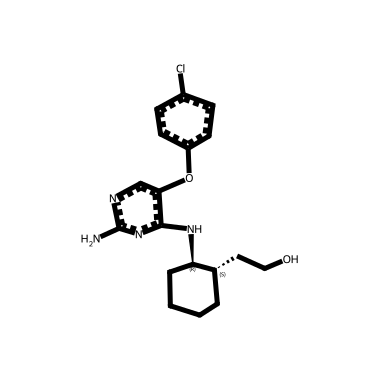 Nc1ncc(Oc2ccc(Cl)cc2)c(N[C@@H]2CCCC[C@H]2CCO)n1